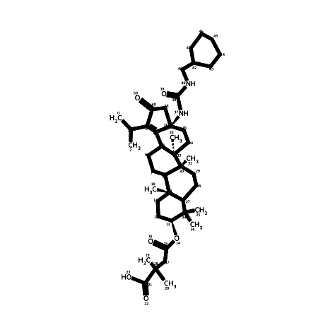 CC(C)C1=C2C3CCC4[C@@]5(C)CC[C@H](OC(=O)CC(C)(C)C(=O)O)C(C)(C)C5CC[C@@]4(C)[C@]3(C)CC[C@@]2(NC(=O)NCC2CCCCC2)CC1=O